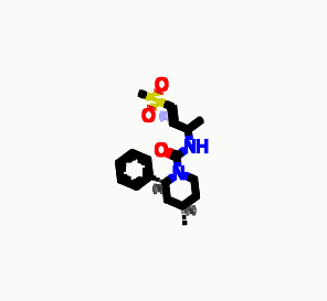 CC(/C=C/S(C)(=O)=O)NC(=O)N1CC[C@H](C)C[C@@H]1c1ccccc1